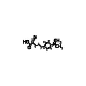 CN(C)c1ccc(/C=C/C=C(\C#N)C(=O)O)cc1